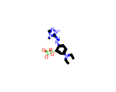 CCN(CC)c1ccc(/N=N/c2n(C)cn[n+]2C)cc1.[O-][Cl+3]([O-])([O-])[O-]